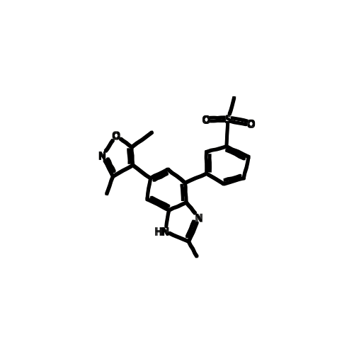 Cc1nc2c(-c3cccc(S(C)(=O)=O)c3)cc(-c3c(C)noc3C)cc2[nH]1